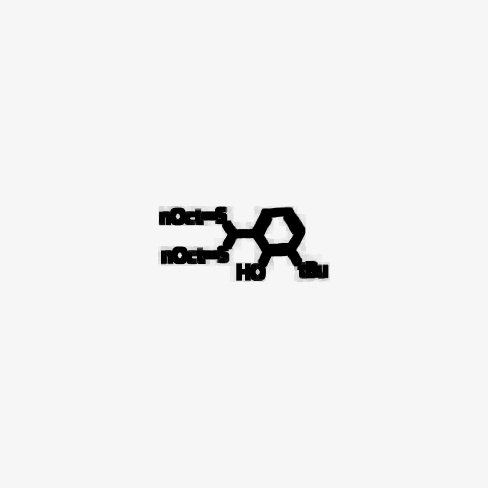 CCCCCCCCSC(SCCCCCCCC)c1cccc(C(C)(C)C)c1O